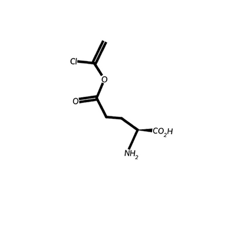 C=C(Cl)OC(=O)CC[C@H](N)C(=O)O